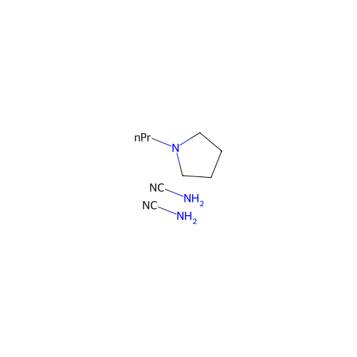 CCCN1CCCC1.N#CN.N#CN